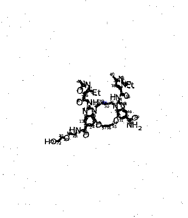 CCc1nc(C)oc1C(=O)Nc1nc2cc(C(=O)NCCOCCO)cc3c2n1C/C=C/Cn1c(NC(=O)c2cc(C)nn2CC)nc2cc(C(N)=O)cc(c21)OCCCO3